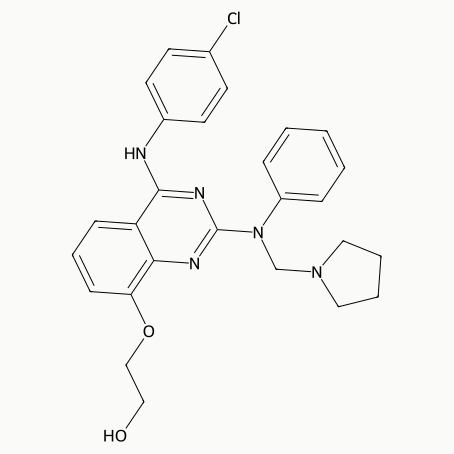 OCCOc1cccc2c(Nc3ccc(Cl)cc3)nc(N(CN3CCCC3)c3ccccc3)nc12